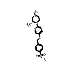 C[C@@H]1CN(C(C)(C)C)CCN1c1ncc(OCc2ccc(S(C)(=O)=O)cc2)cn1